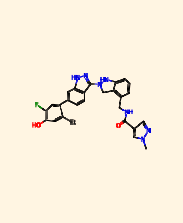 CCc1cc(O)c(F)cc1-c1ccc2c(N3Cc4c(CNC(=O)c5cnn(C)c5)cccc4N3)n[nH]c2c1